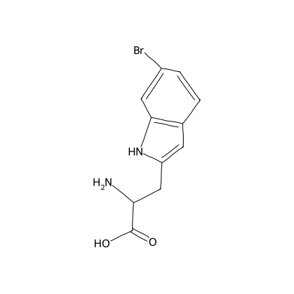 NC(Cc1cc2ccc(Br)cc2[nH]1)C(=O)O